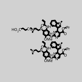 C=CC(=O)Nc1cc(Nc2ncc(C(=O)OC(C)C)c(-c3cn(C)c4ccccc34)n2)c(OC)cc1N(C)CCN(C)C.C=CC(=O)Nc1cc(Nc2ncc(C(=O)OC(C)C)c(-c3cn(C)c4ccccc34)n2)c(OC)cc1N(C)CCN(C)C.O=C(O)CCC(=O)O